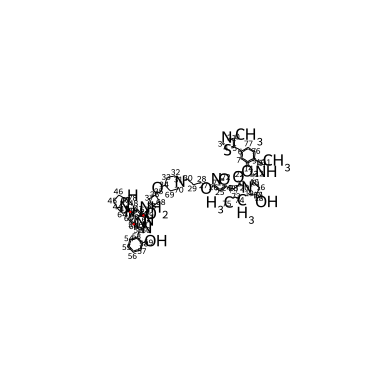 Cc1ncsc1-c1ccc([C@H](C)NC(=O)[C@@H]2C[C@@H](O)CN2C(=O)[C@@H](c2cc(OCCCN3CCC(OC4CC(Oc5cc(N6C7CC[C@@H]6CN(c6cc(-c8ccccc8O)nnc6N)C7)ccn5)C4)CC3)no2)C(C)C)cc1